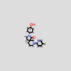 O=C1N([C@H]2CC[C@H](O)CC2)CCC12CCCN(c1ccc(F)cn1)C2